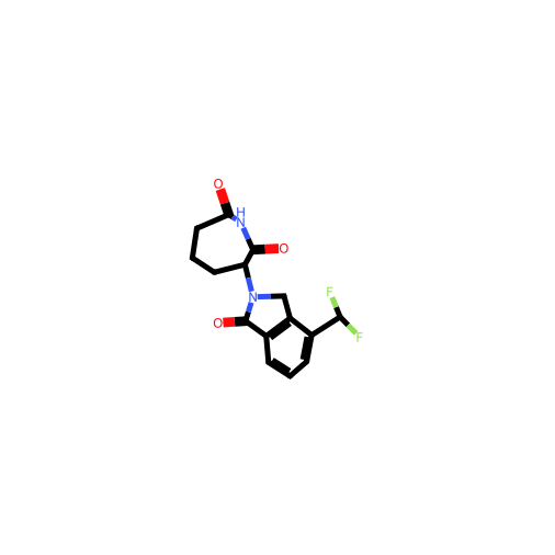 O=C1CCCC(N2Cc3c(cccc3C(F)F)C2=O)C(=O)N1